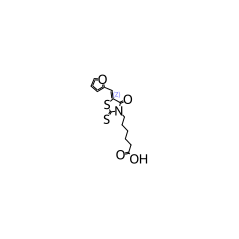 O=C(O)CCCCCN1C(=O)/C(=C/c2ccco2)SC1=S